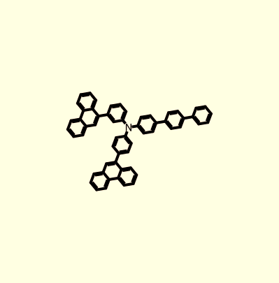 c1ccc(-c2ccc(-c3ccc(N(c4ccc(-c5cc6ccccc6c6ccccc56)cc4)c4cccc(-c5cc6ccccc6c6ccccc56)c4)cc3)cc2)cc1